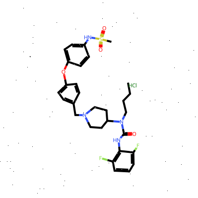 CCCCN(C(=O)Nc1c(F)cccc1F)C1CCN(Cc2ccc(Oc3ccc(NS(C)(=O)=O)cc3)cc2)CC1.Cl